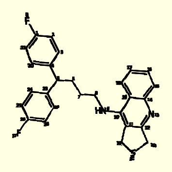 Fc1ccc(C(CCCNc2c3c(nc4ccccc24)CSC3)c2ccc(F)cc2)cc1